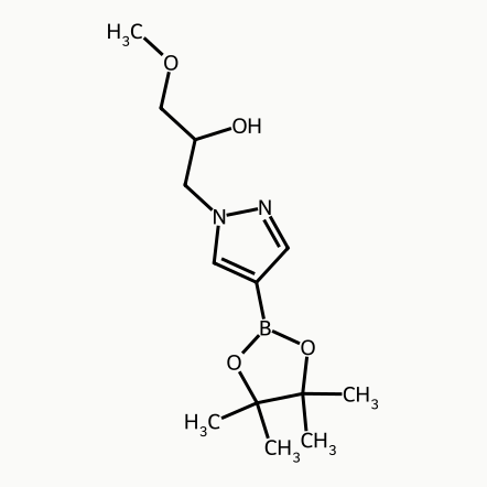 COCC(O)Cn1cc(B2OC(C)(C)C(C)(C)O2)cn1